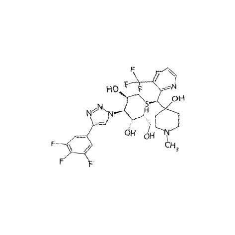 CN1CCC(O)([C@H](c2ncccc2C(F)(F)F)[SH]2C[C@H](O)[C@H](n3cc(-c4cc(F)c(F)c(F)c4)nn3)[C@@H](O)[C@H]2CO)CC1